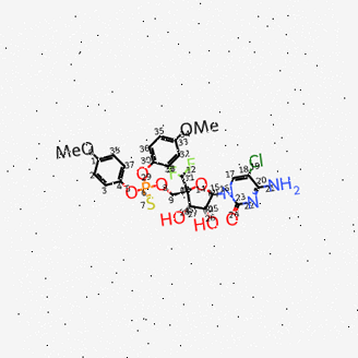 COc1ccc(OP(=S)(OC[C@@]2(C(F)F)O[C@@H](n3cc(Cl)c(N)nc3=O)[C@H](O)[C@@H]2O)Oc2ccc(OC)cc2)cc1